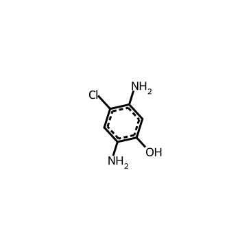 Nc1cc(Cl)c(N)cc1O